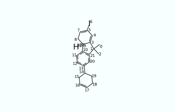 CC1(C)C2=CC(I)=CC[C@@H]2c2ccc(C3CC=CCC3)cc21